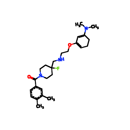 Cc1ccc(C(=O)N2CCC(F)(CNCCOC3=CCCC(N(C)C)=C3)CC2)cc1C